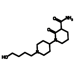 NC(=O)C1CCCN(C2CCN(CCCCO)CC2)C1=O